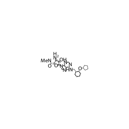 CNC(=O)[C@H]1O[C@@H](n2cnc3c(NCc4ccccc4OC4CCCC4)ncnc32)[C@H](O)[C@@H]1N